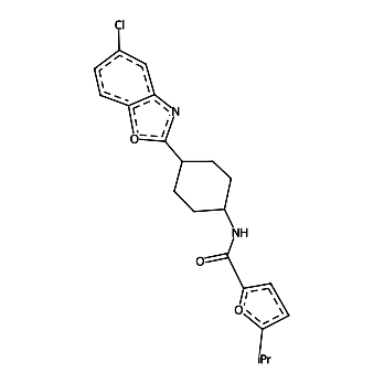 CC(C)c1ccc(C(=O)NC2CCC(c3nc4cc(Cl)ccc4o3)CC2)o1